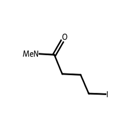 CNC(=O)CCCI